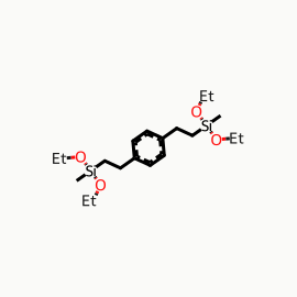 CCO[Si](C)(CCc1ccc(CC[Si](C)(OCC)OCC)cc1)OCC